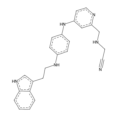 N#CCNCc1cc(Nc2ccc(NCCc3c[nH]c4ccccc34)cc2)ccn1